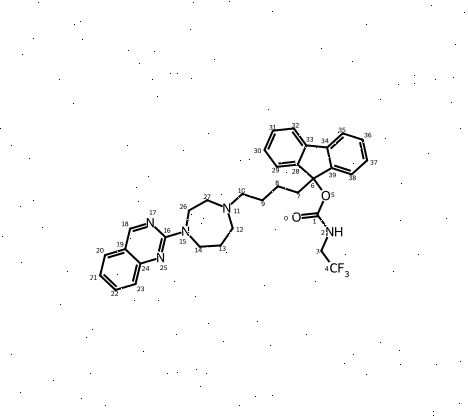 O=C(NCC(F)(F)F)OC1(CCCCN2CCCN(c3ncc4ccccc4n3)CC2)c2ccccc2-c2ccccc21